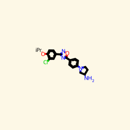 CC(C)Oc1ccc(-c2noc(-c3ccc(N4CC[C@@H](N)C4)cc3)n2)cc1Cl